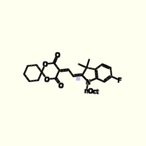 CCCCCCCCN1/C(=C/C=C2C(=O)OC3(CCCCC3)OC2=O)C(C)(C)c2ccc(F)cc21